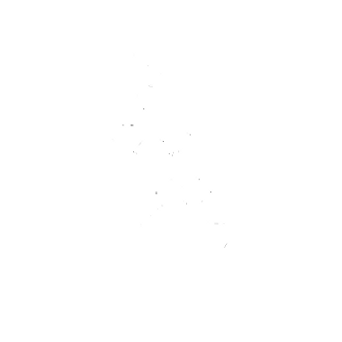 O=C(Nc1cccnc1-n1cnc(Cn2nc(-c3ccc(Cl)cc3)n(C[C@H](O)C(F)(F)F)c2=O)n1)[C@H]1CC1C(F)(F)F